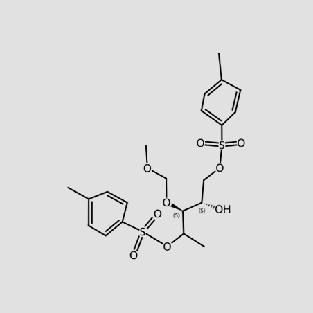 COCO[C@H](C(C)OS(=O)(=O)c1ccc(C)cc1)[C@@H](O)COS(=O)(=O)c1ccc(C)cc1